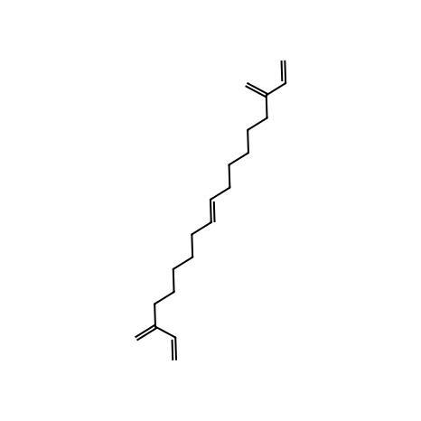 C=CC(=C)CCCCCC=CCCCCCC(=C)C=C